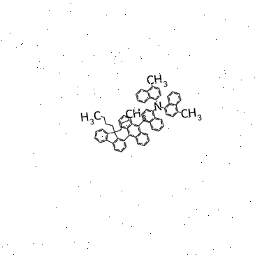 CCCCC1(CCCC)c2ccccc2-c2cccc(-c3c4ccccc4c(-c4ccc(N(c5ccc(C)c6ccccc56)c5ccc(C)c6ccccc56)c5ccccc45)c4ccccc34)c21